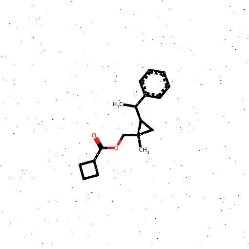 CC(c1ccccc1)C1CC1(C)COC(=O)C1CCC1